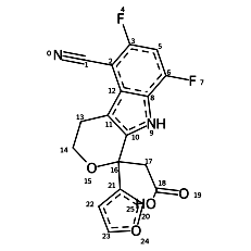 N#Cc1c(F)cc(F)c2[nH]c3c(c12)CCOC3(CC(=O)O)c1ccoc1